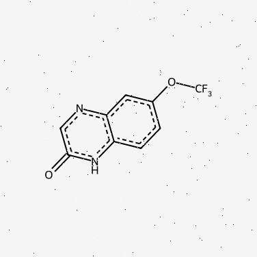 O=c1cnc2cc(OC(F)(F)F)ccc2[nH]1